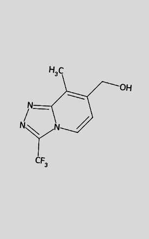 Cc1c(CO)ccn2c(C(F)(F)F)nnc12